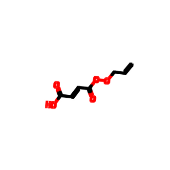 C=CCOOC(=O)C=CC(=O)O